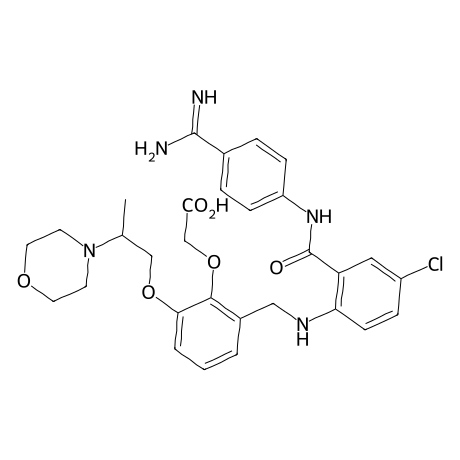 CC(COc1cccc(CNc2ccc(Cl)cc2C(=O)Nc2ccc(C(=N)N)cc2)c1OCC(=O)O)N1CCOCC1